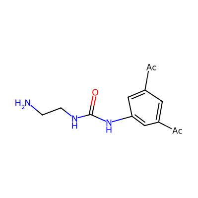 CC(=O)c1cc(NC(=O)NCCN)cc(C(C)=O)c1